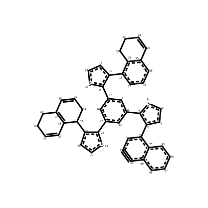 c1cc(-c2ccsc2-c2cc(-c3sccc3-c3cccc4c3CCC=C4)cc(-c3sccc3C3CC=CC4=C3C=CCC4)c2)c2ccccc2c#1